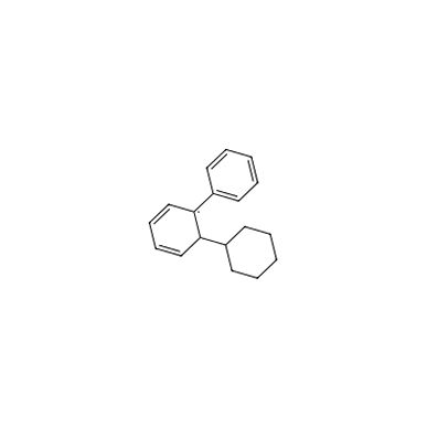 C1=C[C](c2ccccc2)C(C2CCCCC2)C=C1